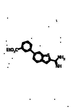 CCOC(=O)c1cccc(-c2ccc3cc(C(=N)N)sc3c2)c1